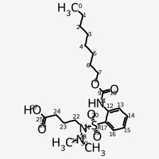 CCCCCCCCOC(=O)Nc1ccccc1S(=O)(=O)N(CCCC(=O)O)N(C)C